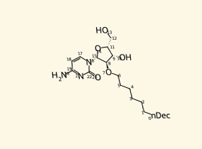 CCCCCCCCCCCCCCCCO[C@@H]1[C@@H](O)[C@@H](CO)O[C@H]1n1ccc(N)nc1=O